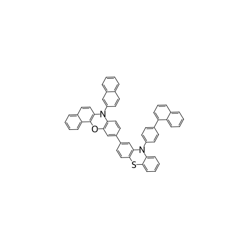 c1ccc2c(c1)Sc1ccc(-c3ccc4c(c3)Oc3c(ccc5ccccc35)N4c3ccc4ccccc4c3)cc1N2c1ccc(-c2cccc3ccccc23)cc1